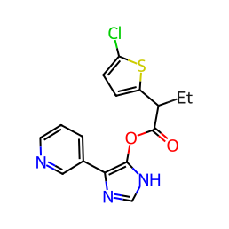 CCC(C(=O)Oc1[nH]cnc1-c1cccnc1)c1ccc(Cl)s1